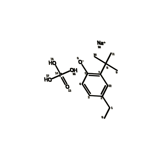 CCc1ccc([O-])c(C(C)(C)C)c1.O=P(O)(O)O.[Na+]